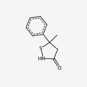 CC1(c2ccccc2)CC(=O)NS1